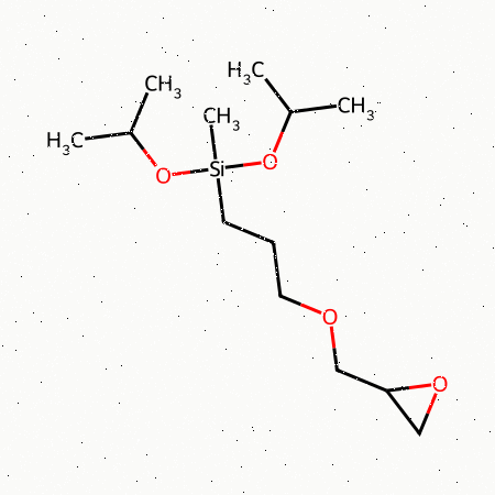 CC(C)O[Si](C)(CCCOCC1CO1)OC(C)C